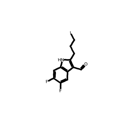 O=Cc1c(CCCI)[nH]c2cc(F)c(F)cc12